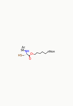 CCCCCCCCCCCCCCOC(=O)[C@H](CS)N[Se]C(C)=O